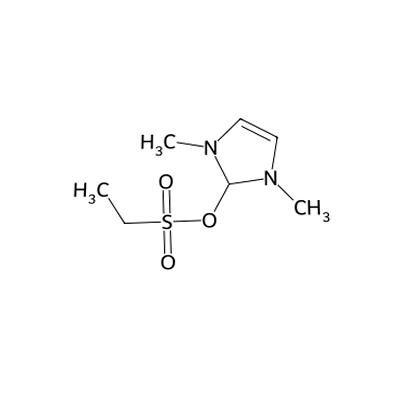 CCS(=O)(=O)OC1N(C)C=CN1C